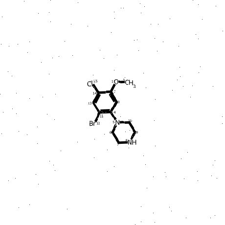 COc1cc(N2CCNCC2)c(Br)cc1Cl